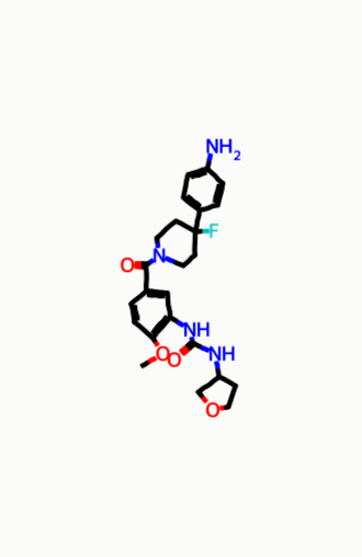 COc1ccc(C(=O)N2CCC(F)(c3ccc(N)cc3)CC2)cc1NC(=O)NC1CCOC1